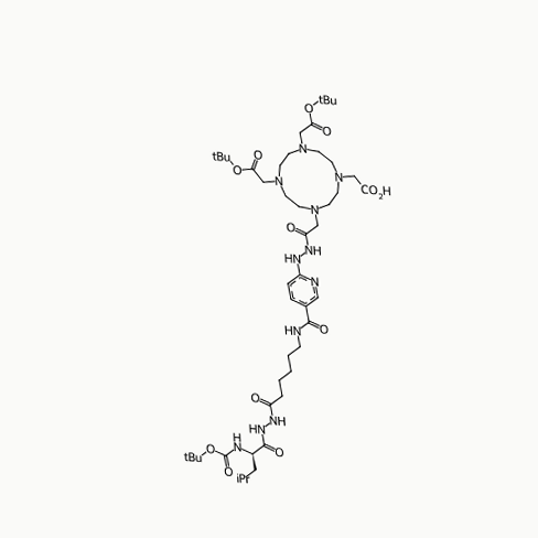 CC(C)C[C@@H](NC(=O)OC(C)(C)C)C(=O)NNC(=O)CCCCCNC(=O)c1ccc(NNC(=O)CN2CCN(CC(=O)O)CCN(CC(=O)OC(C)(C)C)CCN(CC(=O)OC(C)(C)C)CC2)nc1